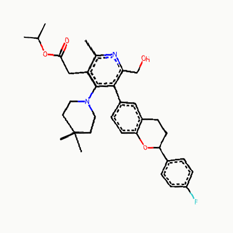 Cc1nc(CO)c(-c2ccc3c(c2)CCC(c2ccc(F)cc2)O3)c(N2CCC(C)(C)CC2)c1CC(=O)OC(C)C